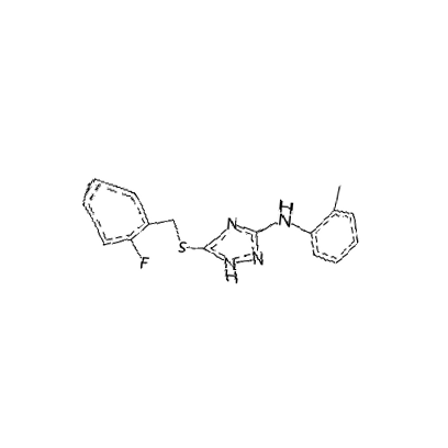 Cc1ccccc1Nc1n[nH]c(SCc2ccccc2F)n1